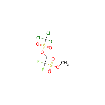 COS(=O)(=O)C(F)(F)COS(=O)(=O)C(Cl)(Cl)Cl